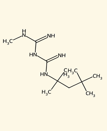 CNC(=N)NC(=N)NC(C)(C)CC(C)(C)C